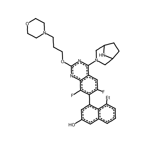 CCc1cccc2cc(O)cc(-c3c(F)cc4c(N5CC6CCC(C5)N6)nc(OCCCN5CCOCC5)nc4c3F)c12